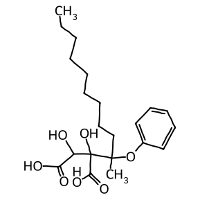 CCCCCCCCCC(C)(Oc1ccccc1)C(O)(C(=O)O)C(O)C(=O)O